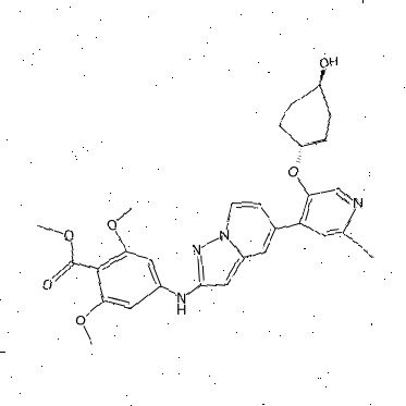 COC(=O)c1c(OC)cc(Nc2cc3cc(-c4cc(C)ncc4O[C@H]4CC[C@H](O)CC4)ccn3n2)cc1OC